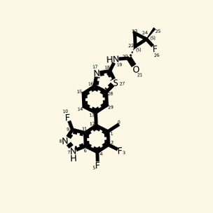 Cc1c(F)c(F)c2[nH]nc(F)c2c1-c1ccc2nc(NC(=O)[C@@H]3C[C@]3(C)F)sc2c1